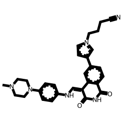 CN1CCN(c2ccc(NC=C3C(=O)NC(=O)c4ccc(-c5ccn(CCCC#N)c5)cc43)cc2)CC1